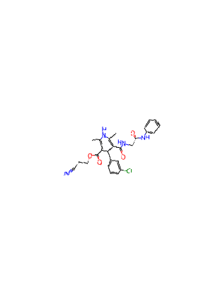 CC1=C(C(=O)NCC(=O)Nc2ccccc2)C(c2cccc(Cl)c2)C(C(=O)OCCC#N)=C(C)N1